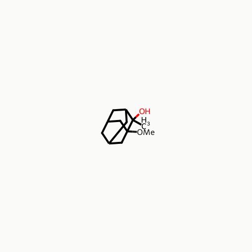 COC12CC3CC(CC(C3)C1(C)O)C2